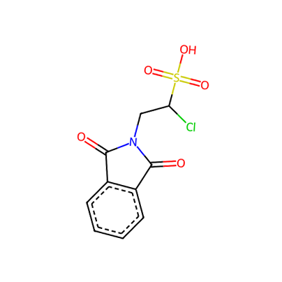 O=C1c2ccccc2C(=O)N1CC(Cl)S(=O)(=O)O